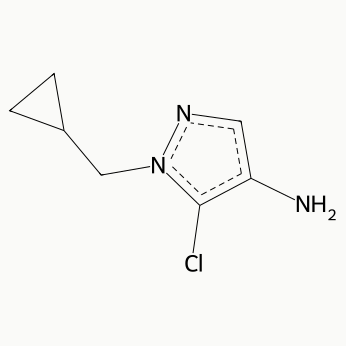 Nc1cnn(CC2CC2)c1Cl